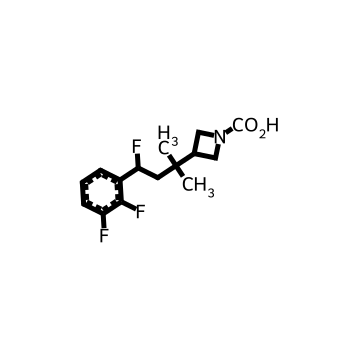 CC(C)(CC(F)c1cccc(F)c1F)C1CN(C(=O)O)C1